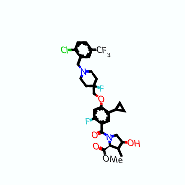 COC(=O)[C@@H]1C(C)C(O)CN1C(=O)c1cc(C2CC2)c(OCC2(F)CCN(Cc3cc(C(F)(F)F)ccc3Cl)CC2)cc1F